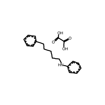 O=C(O)C(=O)O.c1ccc(CCCCCNc2ccccc2)cc1